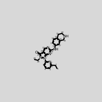 CCc1cccc(-n2c3nc(Nc4ccc5c(c4)CNCC5)ncc3c(=O)n2CC)n1